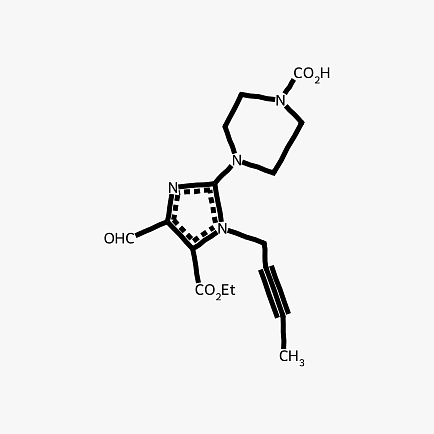 CC#CCn1c(N2CCN(C(=O)O)CC2)nc(C=O)c1C(=O)OCC